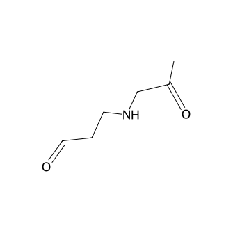 CC(=O)CNCCC=O